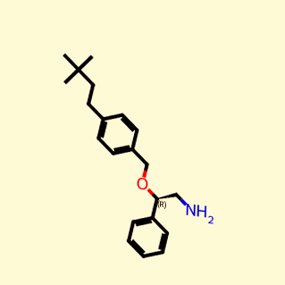 CC(C)(C)CCc1ccc(CO[C@@H](CN)c2ccccc2)cc1